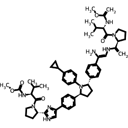 C=C(N[C@H](C(=O)N1CCC[C@H]1C(=C)N/C=C(\N)c1ccc([C@@H]2CC[C@@H](c3ccc(-c4c[nH]c([C@@H]5CCCN5C(=O)[C@@H](NC(=O)OC)C(C)C)n4)cc3)N2c2ccc(C3CC3)cc2)cc1)C(C)C)OC